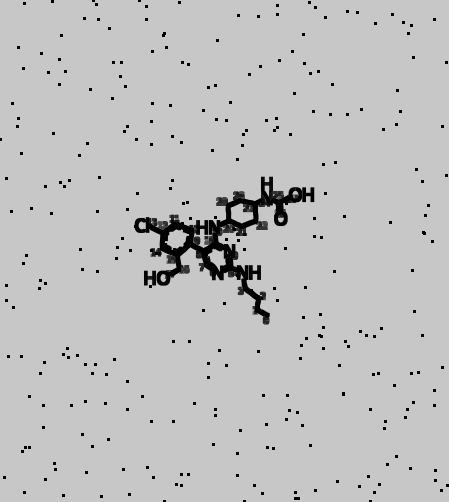 CCCCNc1ncc(-c2ccc(Cl)cc2CO)c(NC2CCC(NC(=O)O)CC2)n1